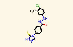 O=C(NNc1ccc(Cl)c(C(F)(F)F)c1)c1ccc(-n2cn[nH]c2=S)cc1